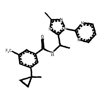 Cc1nc(C(C)NC(=O)c2cc(C(F)(F)F)cc(C3(C)CC3)c2)n(-c2ncccn2)n1